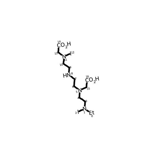 CCN(I)CCN(CCNCCN(I)CC(=O)O)CC(=O)O